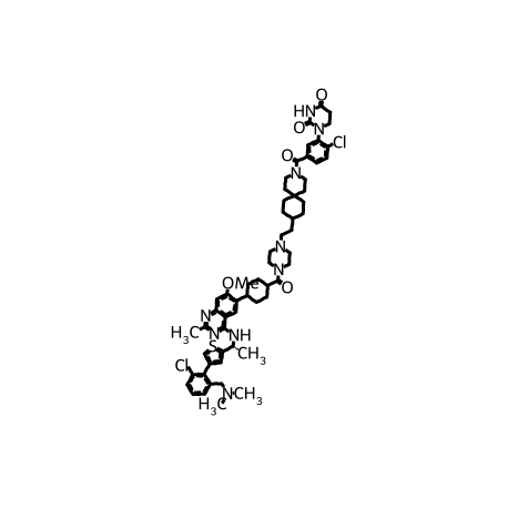 COc1cc2nc(C)nc(N[C@H](C)c3cc(-c4c(Cl)cccc4CN(C)C)cs3)c2cc1C1CCC(C(=O)N2CCN(CCC3CCC4(CC3)CCN(C(=O)c3ccc(Cl)c(N5CCC(=O)NC5=O)c3)CC4)CC2)CC1